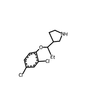 CCC(Oc1ccc(Cl)cc1Cl)C1CCNC1